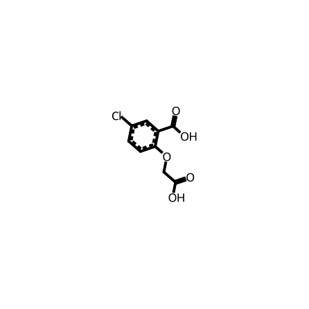 O=C(O)COc1ccc(Cl)cc1C(=O)O